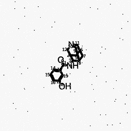 O=C(NC1C2CC3CC1CN(C3)C2)c1cccc(O)c1